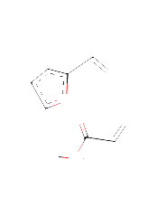 C=CC(=O)OC.C=Cc1ccco1